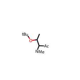 CNC(C(C)=O)C(C)OC(C)(C)C